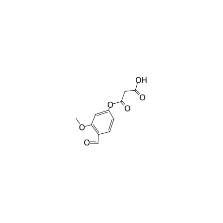 COc1cc(OC(=O)CC(=O)O)ccc1C=O